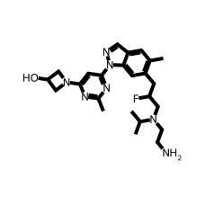 Cc1nc(N2CC(O)C2)cc(-n2ncc3cc(C)c(CC(F)CN(CCN)C(C)C)cc32)n1